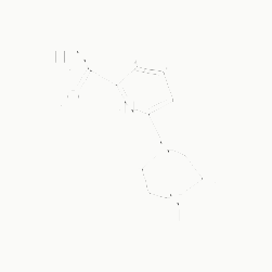 NC(=O)c1[c]ccc(N2CCNCC2)n1